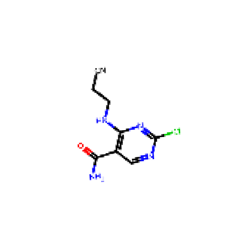 N#CCCNc1nc(Cl)ncc1C(N)=O